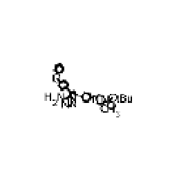 CC1CN([C@H]2CC[C@H](c3cc(-c4ccc(Oc5ccccc5)cc4)c4c(N)ncnn43)CC2)CCN1C(=O)OC(C)(C)C